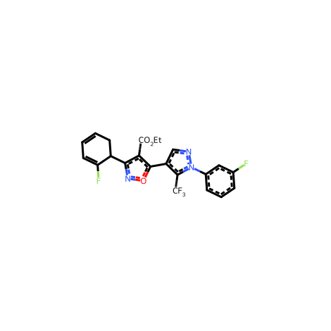 CCOC(=O)c1c(C2CC=CC=C2F)noc1-c1cnn(-c2cccc(F)c2)c1C(F)(F)F